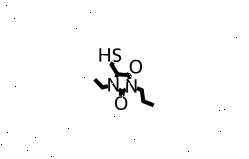 CCCN1C(=O)C(CS)N(CC)C1=O